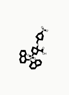 O=C(O)c1cc(S(=O)(=O)N(c2cccc3ccccc23)c2cccc3ccccc23)ccc1SCc1ccc([N+](=O)[O-])cc1